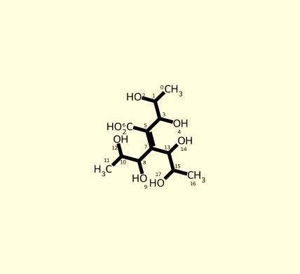 CC(O)C(O)C(C(=O)O)=C(C(O)C(C)O)C(O)C(C)O